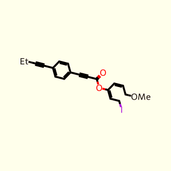 CCC#Cc1ccc(C#CC(=O)OC(/C=C\COC)=C/CI)cc1